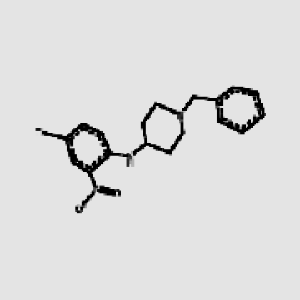 O=[N+]([O-])c1cc(Cl)ccc1NC1CCN(Cc2ccccc2)CC1